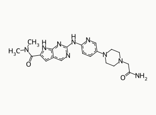 CN(C)C(=O)c1cc2cnc(Nc3ccc(N4CCN(CC(N)=O)CC4)cn3)nc2[nH]1